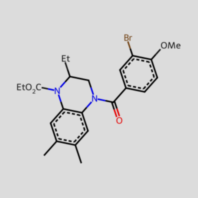 CCOC(=O)N1c2cc(C)c(C)cc2N(C(=O)c2ccc(OC)c(Br)c2)CC1CC